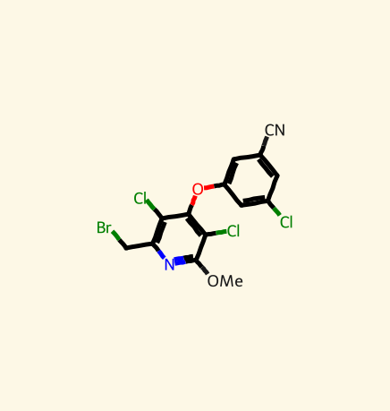 COc1nc(CBr)c(Cl)c(Oc2cc(Cl)cc(C#N)c2)c1Cl